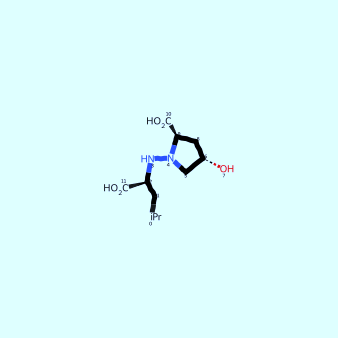 CC(C)C[C@H](NN1C[C@@H](O)C[C@@H]1C(=O)O)C(=O)O